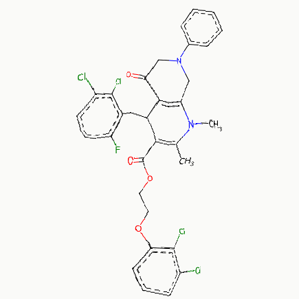 CC1=C(C(=O)OCCOc2cccc(Cl)c2Cl)C(c2c(F)ccc(Cl)c2Cl)C2=C(CN(c3ccccc3)CC2=O)N1C